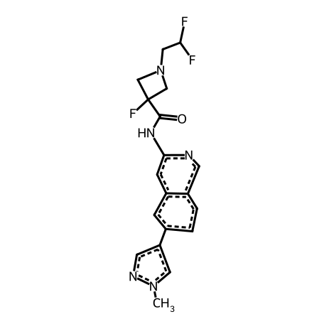 Cn1cc(-c2ccc3cnc(NC(=O)C4(F)CN(CC(F)F)C4)cc3c2)cn1